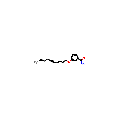 CCCCC#CCCCCOc1cccc(C(N)=O)c1